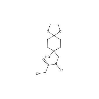 CCN(CC1(O)CCC2(CC1)OCCO2)C(=O)CCl